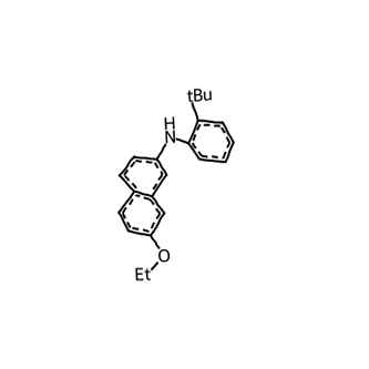 CCOc1ccc2ccc(Nc3ccccc3C(C)(C)C)cc2c1